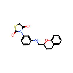 O=C1CSC(=O)N1c1cccc(NCC2CCc3ccccc3O2)c1